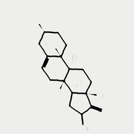 C[C@]12CC[C@H](O)CC1=CC[C@@H]1[C@@H]2CC[C@]2(C)C(=O)C(O)C[C@@H]12